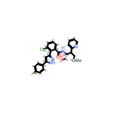 COCC(c1ccccn1)[C@H](CO)NC(=O)c1cccc(Cl)c1-c1cc(-c2ccc(F)cc2)[nH]n1